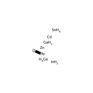 [Cd].[GaH3].[GeH4].[InH3].[O]=[Pb].[SnH4].[Zn]